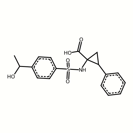 CC(O)c1ccc(S(=O)(=O)NC2(C(=O)O)CC2c2ccccc2)cc1